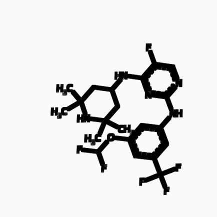 CC1(C)CC(Nc2nc(Nc3cc(OC(F)F)cc(C(F)(F)F)c3)ncc2F)CC(C)(C)N1